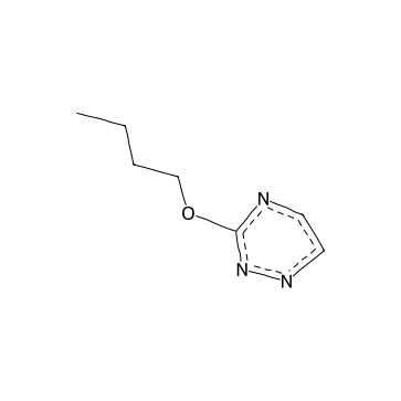 CCCCOc1nccnn1